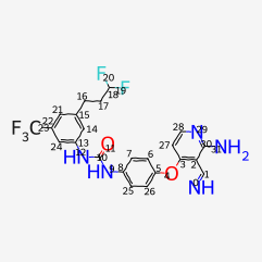 N=Cc1c(Oc2ccc(NC(=O)Nc3cc(CCC(F)F)cc(C(F)(F)F)c3)cc2)ccnc1N